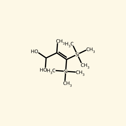 CC(=C([Si](C)(C)C)[Si](C)(C)C)C(O)O